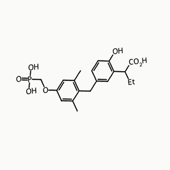 CCC(C(=O)O)c1cc(Cc2c(C)cc(OCP(=O)(O)O)cc2C)ccc1O